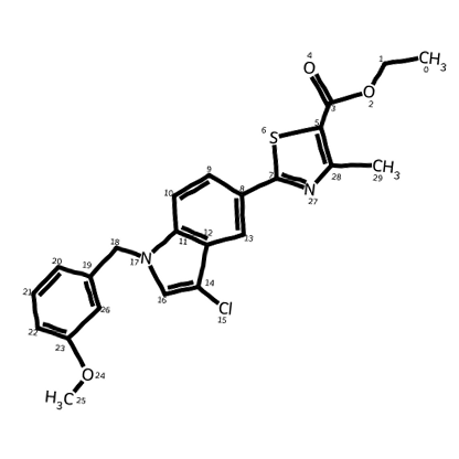 CCOC(=O)c1sc(-c2ccc3c(c2)c(Cl)cn3Cc2cccc(OC)c2)nc1C